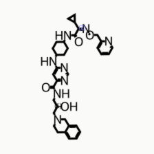 O=C(NC1CCC(Nc2cc(C(=O)NC[C@H](O)CN3CCc4ccccc4C3)ncn2)CC1)/C(=N\OCc1ccccn1)C1CC1